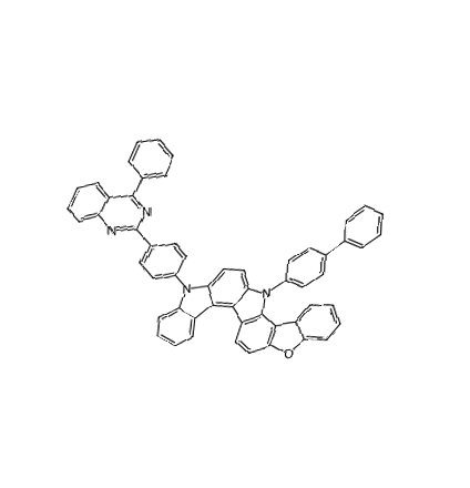 c1ccc(-c2ccc(-n3c4ccc5c(c6ccccc6n5-c5ccc(-c6nc(-c7ccccc7)c7ccccc7n6)cc5)c4c4ccc5oc6ccccc6c5c43)cc2)cc1